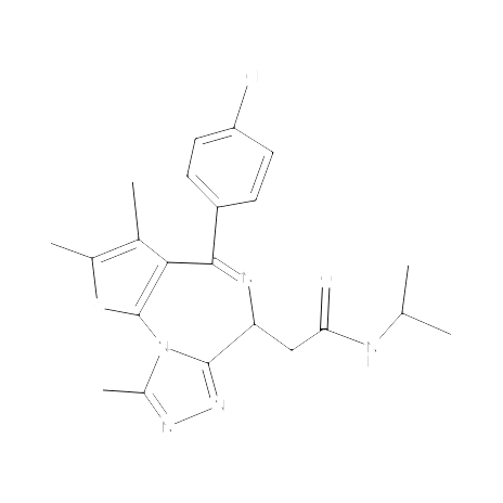 Cc1sc2c(c1C)C(c1ccc(Cl)cc1)=NC(CC(=O)NC(C)C)c1nnc(C)n1-2